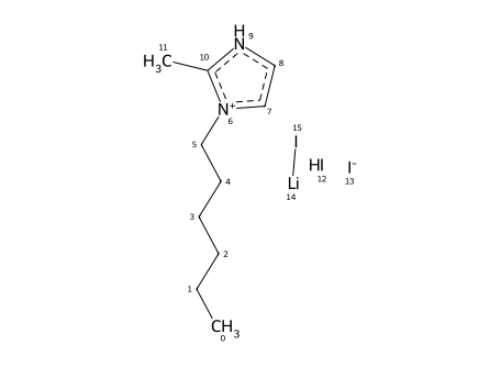 CCCCCC[n+]1cc[nH]c1C.I.[I-].[Li][I]